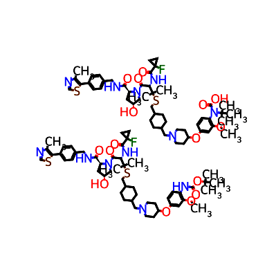 COc1cc(OC2CCN(CC3CCC(CSC(C)(C)[C@@H](NC(=O)C4(F)CC4)C(=O)N4C[C@H](O)C[C@H]4C(=O)NCc4ccc(-c5scnc5C)cc4)CC3)CC2)ccc1N(C(=O)O)C(C)(C)C.COc1cc(OC2CCN(CC3CCC(CSC(C)(C)[C@@H](NC(=O)C4(F)CC4)C(=O)N4C[C@H](O)C[C@H]4C(=O)NCc4ccc(-c5scnc5C)cc4)CC3)CC2)ccc1NC(=O)OC(C)(C)C